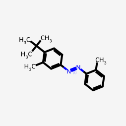 Cc1ccccc1/N=N/c1ccc(C(C)(C)C)c(C)c1